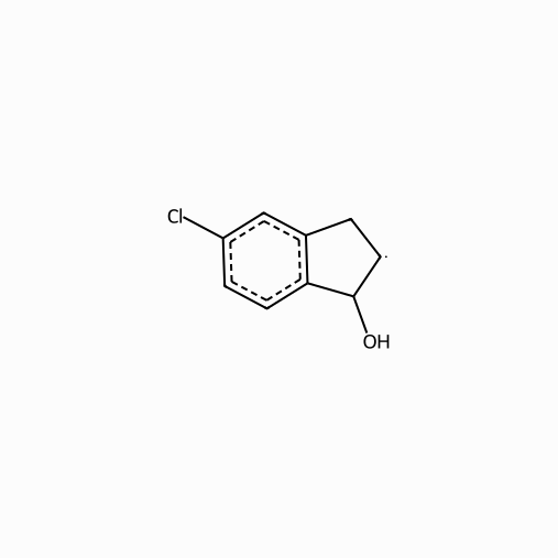 OC1[CH]Cc2cc(Cl)ccc21